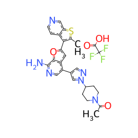 CC(=O)N1CCC(n2cc(-c3cnc(N)c4oc(-c5c(C)sc6cnccc56)cc34)cn2)CC1.O=C(O)C(F)(F)F